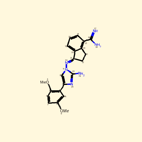 COc1ccc(OC)c(-c2cn(N=C3CCc4c(C(=N)N)cccc43)c(N)n2)c1